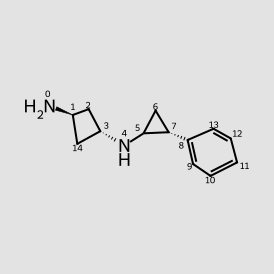 N[C@H]1C[C@H](NC2C[C@@H]2c2ccccc2)C1